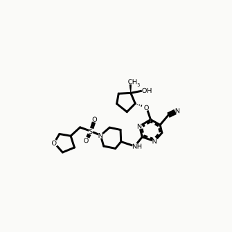 C[C@]1(O)CCC[C@H]1Oc1nc(NC2CCN(S(=O)(=O)CC3CCOC3)CC2)ncc1C#N